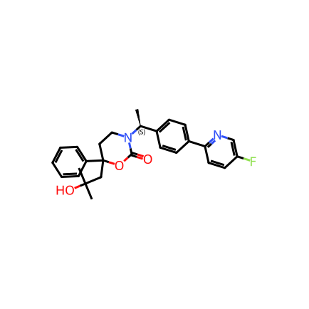 C[C@@H](c1ccc(-c2ccc(F)cn2)cc1)N1CCC(CC(C)(C)O)(c2ccccc2)OC1=O